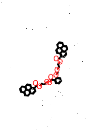 O=C(OOCCOC(=O)c1ccc2c3c4c(ccc13)CC=CC4=CC2)c1ccccc1OCOCCOC(=O)c1ccc2c3c4c(ccc13)CC=CC4=CC2